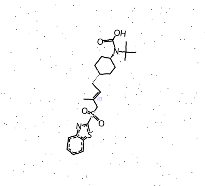 C/C(=C\C[C@H]1CC[C@H](N(C(=O)O)C(C)(C)C)CC1)CS(=O)(=O)c1nc2ccccc2s1